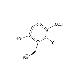 CC[C@H](C)Cc1c(O)ccc(C(=O)O)c1Cl